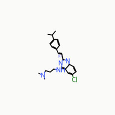 CC(C)c1ccc(/C=C/c2nc(NCCCN(C)C)c3cc(Cl)ccc3n2)cc1